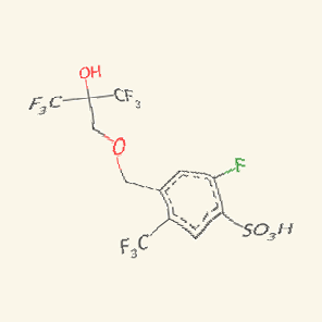 O=S(=O)(O)c1cc(C(F)(F)F)c(COCC(O)(C(F)(F)F)C(F)(F)F)cc1F